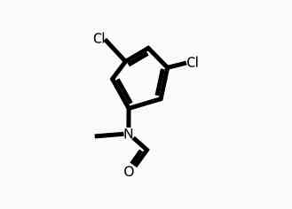 CN(C=O)c1cc(Cl)cc(Cl)c1